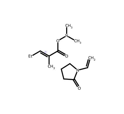 C=CN1CCCC1=O.CC/C=C(\C)C(=O)ON(C)C